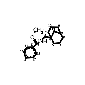 O=C(NCC12CCCC(CCC1)C2)c1ccccc1.[CH2]